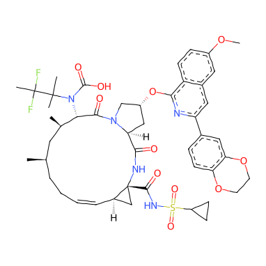 COc1ccc2c(O[C@@H]3C[C@H]4C(=O)N[C@]5(C(=O)NS(=O)(=O)C6CC6)C[C@H]5C=CCC[C@@H](C)C[C@@H](C)[C@H](N(C(=O)O)C(C)(C)C(C)(F)F)C(=O)N4C3)nc(-c3ccc4c(c3)OCCO4)cc2c1